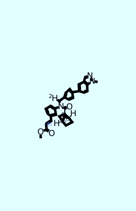 [2H]C(c1ccc(-c2ccc3c(cnn3C)c2)cc1)N(C(=O)[C@@H]1C[C@@H]2CC[C@H]1C2)c1cccc(/C=C/C(=O)OC)c1